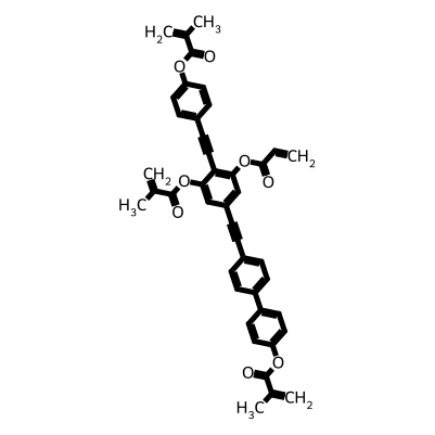 C=CC(=O)Oc1cc(C#Cc2ccc(-c3ccc(OC(=O)C(=C)C)cc3)cc2)cc(OC(=O)C(=C)C)c1C#Cc1ccc(OC(=O)C(=C)C)cc1